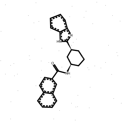 O=C(N[C@@H]1CCC[C@H](c2nc3ccccc3[nH]2)C1)c1ccc2ccccc2c1